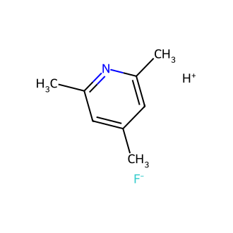 Cc1cc(C)nc(C)c1.[F-].[H+]